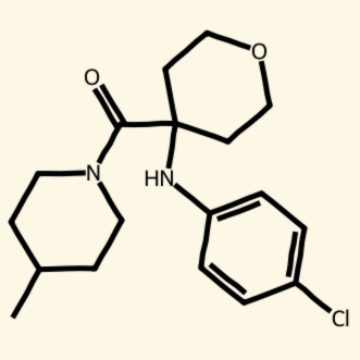 CC1CCN(C(=O)C2(Nc3ccc(Cl)cc3)CCOCC2)CC1